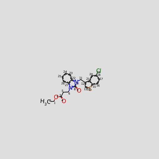 CCOC(=O)CCn1c(=O)n(Cc2csc3ccc(Cl)cc23)c2ccccc21